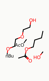 CCCCOC(C)=O.CCCCOCCOCCO.CO.COC(C)=O